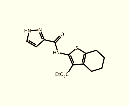 CCOC(=O)c1c(NC(=O)c2cc[nH]n2)sc2c1CCCC2